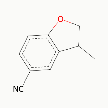 CC1COc2ccc(C#N)cc21